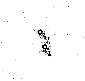 CC(C)n1c(=O)n(CC2CC2)c(=O)c2cc(NC(=O)N3CCOC(C(=O)Nc4ccc(C#N)c(F)c4F)C3)ccc21